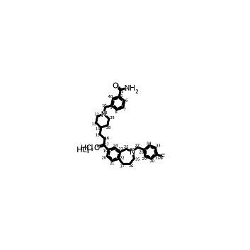 Cl.Cl.NC(=O)c1cccc(CN2CCC(CCC(=O)c3ccc4c(c3)CN(Cc3ccc(F)cc3)CCC4)CC2)c1